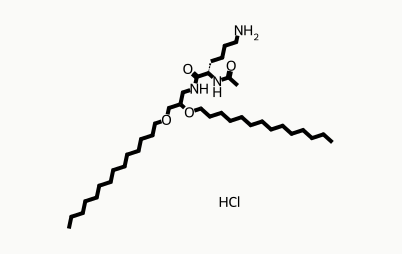 CCCCCCCCCCCCCCOCC(CNC(=O)[C@H](CCCCN)NC(C)=O)OCCCCCCCCCCCCCC.Cl